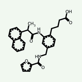 CC(C(=O)Nc1cc(CNC(=O)c2ccco2)ccc1CCCC(=O)O)c1cccc2ccccc12